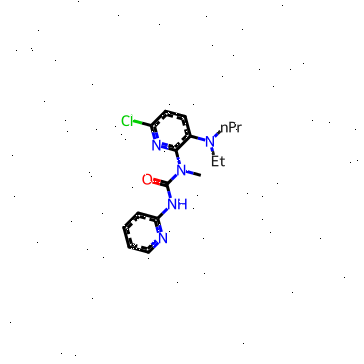 CCCN(CC)c1ccc(Cl)nc1N(C)C(=O)Nc1ccccn1